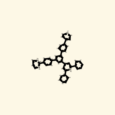 c1ccc(-c2cc(-c3cc(-c4ccc(-c5ccncc5)cc4)cc(-c4ccc(-c5ncccn5)cc4)c3)cc(-c3ccccc3)n2)cc1